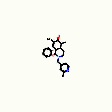 Cc1cc(CN2CCC3C(C)C(=O)C(C#N)=C[C@]3(c3ccccc3)C2=O)ccn1